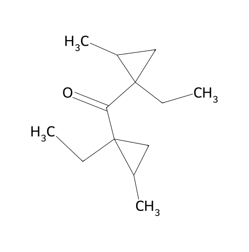 CCC1(C(=O)C2(CC)CC2C)CC1C